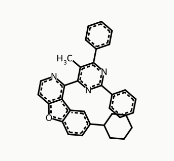 Cc1c(-c2ccccc2)nc(-c2ccccc2)nc1-c1nccc2oc3ccc(C4CCCCC4)cc3c12